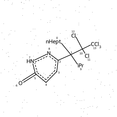 CCCCCCCC(c1ccc(=O)[nH]n1)(C(C)C)C(Cl)(Cl)C(Cl)(Cl)Cl